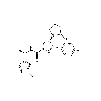 Cc1ccc(C2=NN(C(=O)N[C@H](C)c3nc(C)no3)C[C@H]2N2CCCC2=O)cc1